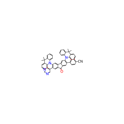 CC1(C)c2ccccc2N(c2cc3c(cc2-c2ccc(C#N)cc2)C(=O)c2cc(-c4cncnc4)c(N4c5ccccc5C(C)(C)c5ccccc54)cc2-3)c2ccccc21